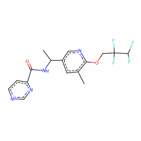 Cc1cc(C(C)NC(=O)c2ccncn2)cnc1OCC(F)(F)C(F)F